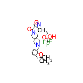 Cc1nocc1C(=O)N1CCC2(CCN(Cc3cccc4c3OC(C)(C)C4)CC2)CC1.O=C(O)C(F)(F)F